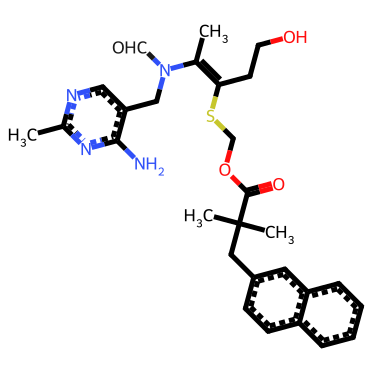 C/C(=C(\CCO)SCOC(=O)C(C)(C)Cc1ccc2ccccc2c1)N(C=O)Cc1cnc(C)nc1N